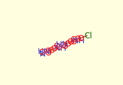 O=C(NCCOCCOCCOC(=O)NC/C=C/C(=O)N1CCCCC1)OC/C=C/COC(=O)NCCOCCOCCOC(=O)NCCOCCOCCCCCCCl